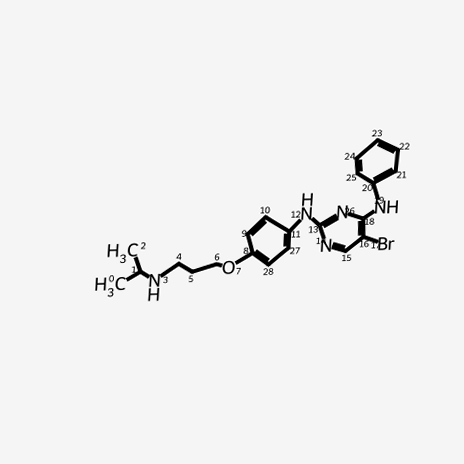 CC(C)NCCCOc1ccc(Nc2ncc(Br)c(Nc3ccccc3)n2)cc1